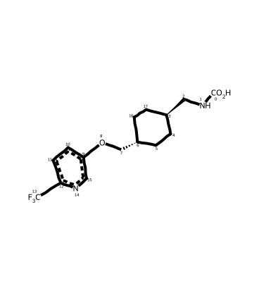 O=C(O)NC[C@H]1CC[C@H](COc2ccc(C(F)(F)F)nc2)CC1